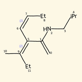 C=C(NCC(C)C)C(/C=C\CC)=C(/C)CC